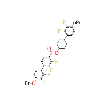 CCCc1ccc(C2CCC(OC(=O)c3ccc(-c4ccc(OCC)c(F)c4F)c(F)c3F)CC2)c(F)c1F